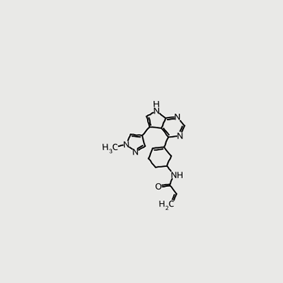 C=CC(=O)NC1CCC=C(c2ncnc3[nH]cc(-c4cnn(C)c4)c23)C1